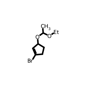 CCOC(C)OC1C=C(Br)CC1